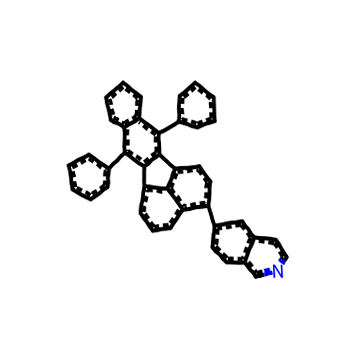 c1ccc(-c2c3c(c(-c4ccccc4)c4ccccc24)-c2ccc(-c4ccc5cnccc5c4)c4cccc-3c24)cc1